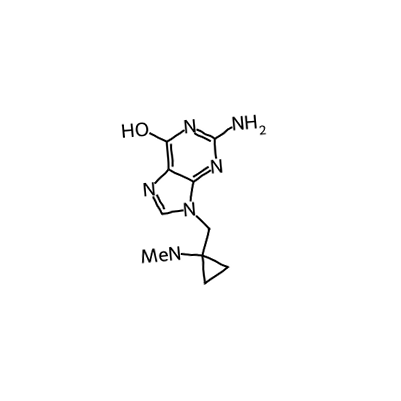 CNC1(Cn2cnc3c(O)nc(N)nc32)CC1